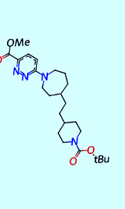 COC(=O)c1ccc(N2CCCC(CCC3CCN(C(=O)OC(C)(C)C)CC3)CC2)nn1